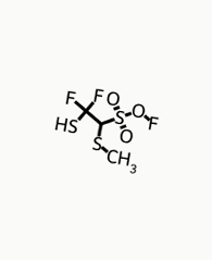 CSC(C(F)(F)S)S(=O)(=O)OF